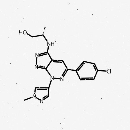 C[C@@H](CO)Nc1nnc2n(-c3cnn(C)c3)nc(-c3ccc(Cl)cc3)cc1-2